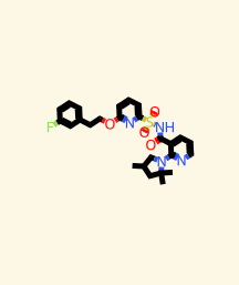 CC1CN(c2ncccc2C(=O)NS(=O)(=O)c2cccc(OCCc3cccc(F)c3)n2)C(C)(C)C1